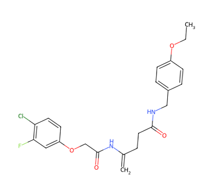 C=C(CCC(=O)NCc1ccc(OCC)cc1)NC(=O)COc1ccc(Cl)c(F)c1